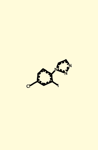 Clc1ccc(-n2ccnn2)c(I)c1